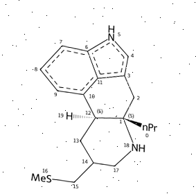 CCC[C@]12Cc3c[nH]c4cccc(c34)[C@@H]1CC(CSC)CN2